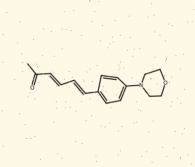 CC(=O)C=CC=Cc1ccc(N2CCOCC2)cc1